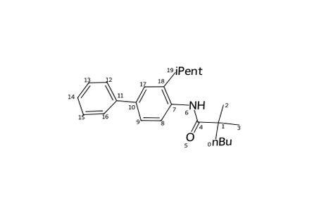 CCCCC(C)(C)C(=O)Nc1ccc(-c2ccccc2)cc1C(C)CCC